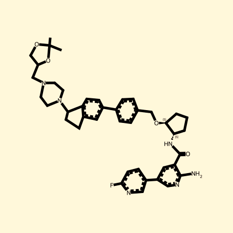 CC1(C)OCC(CN2CCN(C3CCc4cc(-c5ccc(CO[C@H]6CCC[C@@H]6NC(=O)c6cc(-c7ccc(F)nc7)cnc6N)cc5)ccc43)CC2)O1